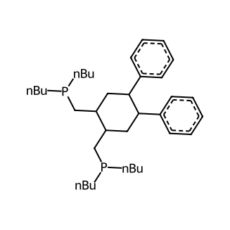 CCCCP(CCCC)CC1CC(c2ccccc2)C(c2ccccc2)CC1CP(CCCC)CCCC